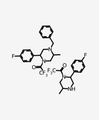 CC1CN(C(=O)C(F)(F)F)C(c2ccc(F)cc2)CN1.CC1CN(C(=O)C(F)(F)F)C(c2ccc(F)cc2)CN1Cc1ccccc1